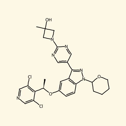 C[C@@H](Oc1ccc2c(c1)c(-c1cnc(N3CC(C)(O)C3)nc1)nn2C1CCCCO1)c1c(Cl)cncc1Cl